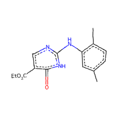 CCOC(=O)c1cnc(Nc2cc(C)ccc2C)[nH]c1=O